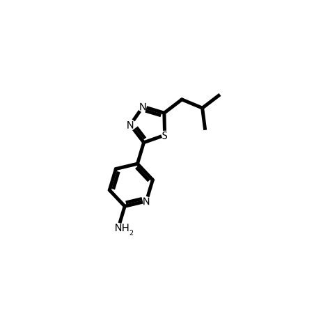 CC(C)Cc1nnc(-c2ccc(N)nc2)s1